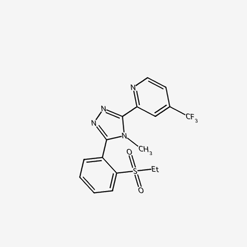 CCS(=O)(=O)c1ccccc1-c1nnc(-c2cc(C(F)(F)F)ccn2)n1C